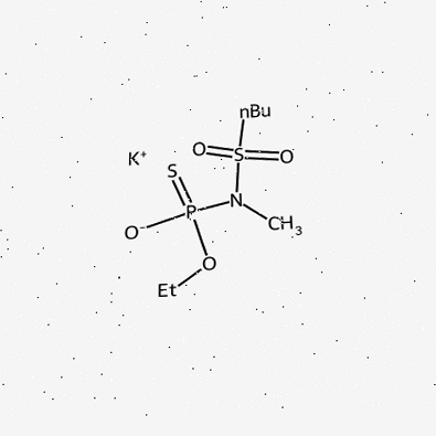 CCCCS(=O)(=O)N(C)P([O-])(=S)OCC.[K+]